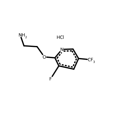 Cl.NCCOc1ncc(C(F)(F)F)cc1F